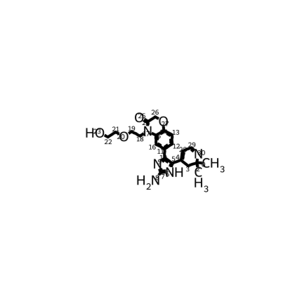 CC1(C)CC(c2[nH]c(N)nc2-c2ccc3c(c2)N(CCOCCO)C(=O)CO3)=CC=N1